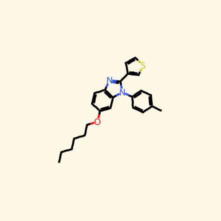 CCCCCCOc1ccc2nc(-c3ccsc3)n(-c3ccc(C)cc3)c2c1